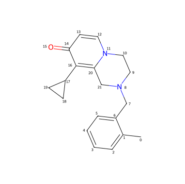 Cc1ccccc1CN1CCn2ccc(=O)c(C3CC3)c2C1